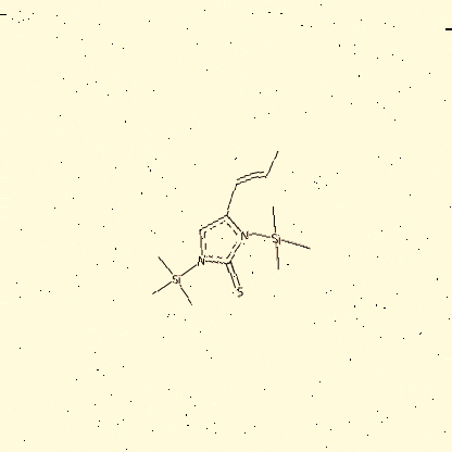 CC=Cc1cn([Si](C)(C)C)c(=S)n1[Si](C)(C)C